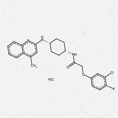 Cc1cc(N[C@H]2CC[C@@H](NC(=O)COc3ccc(F)c(Cl)c3)CC2)nc2ccccc12.Cl